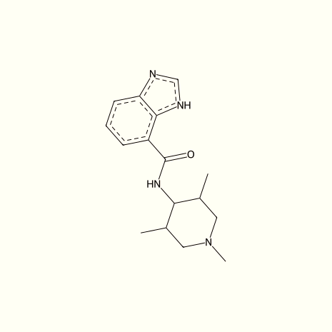 CC1CN(C)CC(C)C1NC(=O)c1cccc2nc[nH]c12